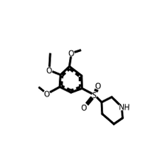 COc1cc(S(=O)(=O)C2CCCNC2)cc(OC)c1OC